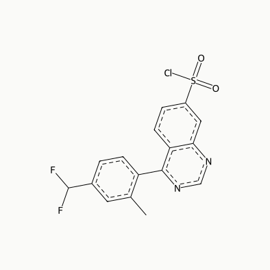 Cc1cc(C(F)F)ccc1-c1ncnc2cc(S(=O)(=O)Cl)ccc12